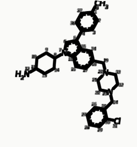 Cc1ccc(-c2cn(C3CCC(N)CC3)c3ccc(CN4CCN(Cc5ccccc5Cl)CC4)cc23)cc1